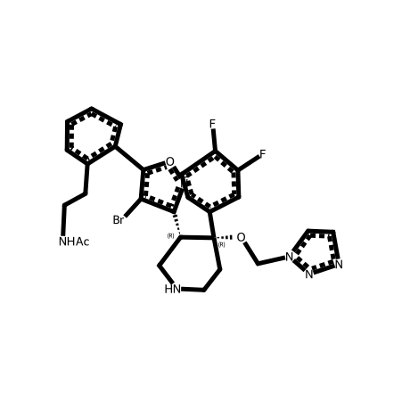 CC(=O)NCCc1ccccc1-c1onc([C@H]2CNCC[C@]2(OCn2ccnn2)c2ccc(F)c(F)c2)c1Br